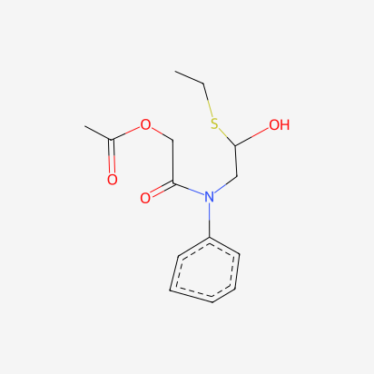 CCSC(O)CN(C(=O)COC(C)=O)c1ccccc1